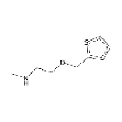 CNCCOCc1cccs1